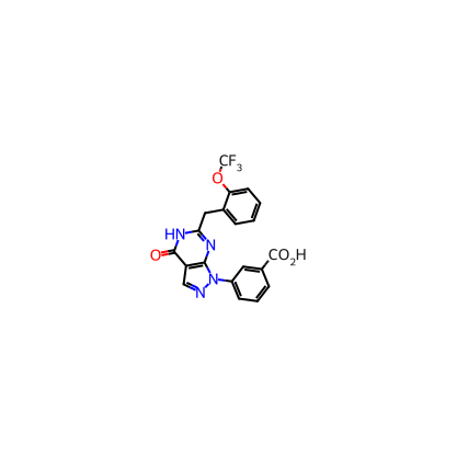 O=C(O)c1cccc(-n2ncc3c(=O)[nH]c(Cc4ccccc4OC(F)(F)F)nc32)c1